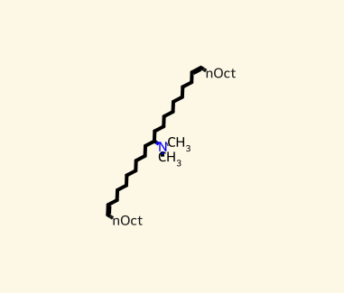 CCCCCCCC/C=C\CCCCCCCCC(CCCCCCCC/C=C\CCCCCCCC)N(C)C